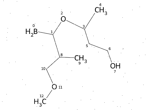 BC(OC(C)CCO)C(C)COC